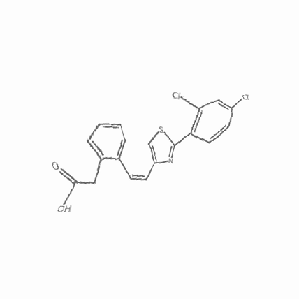 O=C(O)Cc1ccccc1/C=C\c1csc(-c2ccc(Cl)cc2Cl)n1